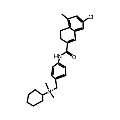 Cc1cc(Cl)cc2c1CCC(C(=O)Nc1ccc(C[N+](C)(C)C3CCCCC3)cc1)=C2